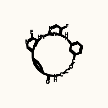 O=C1NCCOCc2cccc(c2)Nc2nc(ncc2F)Nc2cc(cnc2F)-c2ccc1cc2